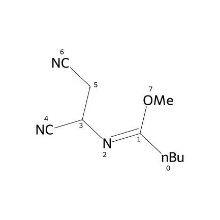 CCCCC(=NC(C#N)CC#N)OC